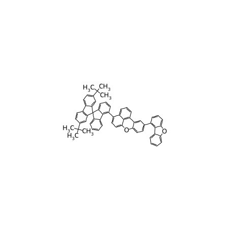 CC(C)(C)c1ccc2c(c1)C1(c3cc(C(C)(C)C)ccc3-2)c2ccccc2-c2c(-c3ccc4c5c(cccc35)-c3cc(-c5cccc6oc7ccccc7c56)ccc3O4)cccc21